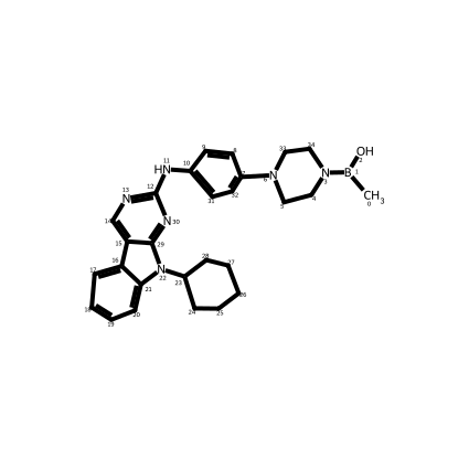 CB(O)N1CCN(c2ccc(Nc3ncc4c5ccccc5n(C5CCCCC5)c4n3)cc2)CC1